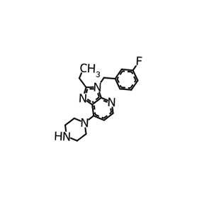 CCc1nc2c(N3CCNCC3)ccnc2n1Cc1cccc(F)c1